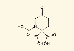 O=C1CCC(C(=O)O)(C(=O)O)N(C(=O)O)C1